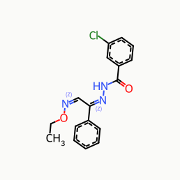 CCO/N=C\C(=N/NC(=O)c1cccc(Cl)c1)c1ccccc1